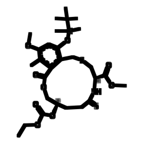 CCOC(=O)O[C@@H]1CCC(=S)N[C@H](C(=O)OC)CSCc2c(O[Si](C)(C)C(C)(C)C)cc(OC)c(C)c2C(=O)OC1